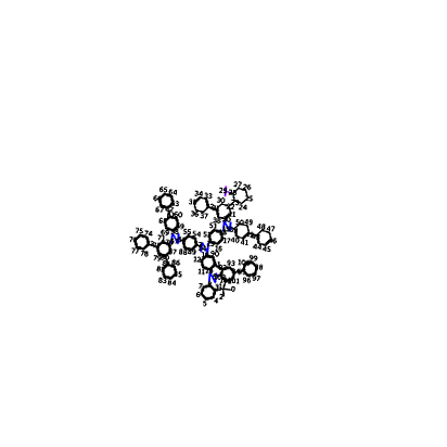 CC1(C)c2ccccc2-n2c3ccc(N(c4ccc(N(C5=CC(C6CCCCC6I)CC(C6=CC=CCC6)=C5)C5=CC=C(C6=CC=CCC6)CC5)cc4)c4ccc(N(c5ccc(-c6ccccc6)cc5)c5cc(-c6ccccc6)cc(-c6ccccc6)c5)cc4)cc3c3cc(-c4ccccc4)cc1c32